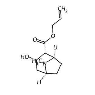 C=CCOC(=O)[C@@H]1[C@H]2CC[C@@H](C[C@@H]1O)N2C